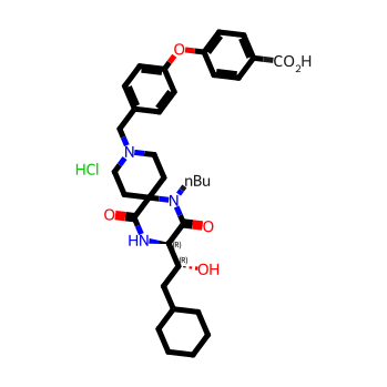 CCCCN1C(=O)[C@@H]([C@H](O)CC2CCCCC2)NC(=O)C12CCN(Cc1ccc(Oc3ccc(C(=O)O)cc3)cc1)CC2.Cl